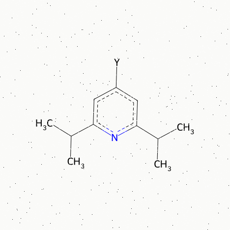 CC(C)c1c[c]([Y])cc(C(C)C)n1